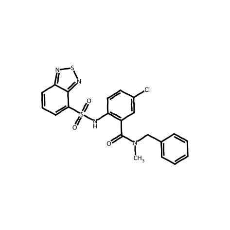 CN(Cc1ccccc1)C(=O)c1cc(Cl)ccc1NS(=O)(=O)c1cccc2nsnc12